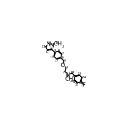 CN(CCOCc1ccc(-c2ccnn2C)cc1)Cc1ccc(F)cc1